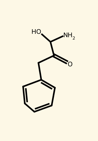 NC(O)C(=O)Cc1ccccc1